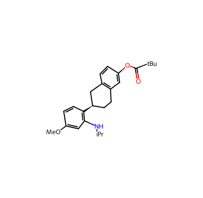 COc1ccc([C@@H]2CCc3cc(OC(=O)C(C)(C)C)ccc3C2)c(NC(C)C)c1